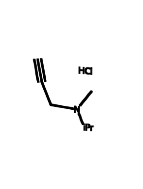 C#CCN(C)C(C)C.Cl